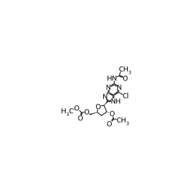 COC(=O)OC[C@@H]1C[C@@H](OC(C)=O)[C@H](c2nc3nc(NC(C)=O)nc(Cl)c3[nH]2)O1